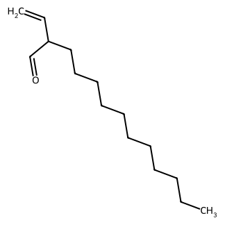 C=CC(C=O)CCCCCCCCCCC